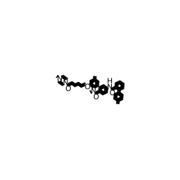 Cc1ccc(-c2ccccc2C(=O)Nc2ccc(C(=O)N(C)c3ccc(C)cc3OCCCCCC(=O)N3CCN(C)CC3)cc2)cc1